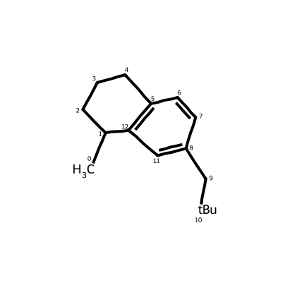 C[C]1CCCc2ccc(CC(C)(C)C)cc21